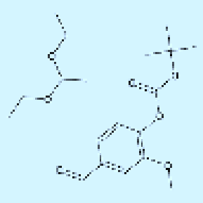 CCOC(C)OCC.COc1cc(C=O)ccc1OC(=O)OC(C)(C)C